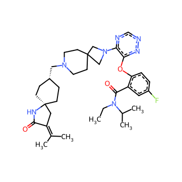 CCN(C(=O)c1cc(F)ccc1Oc1nncnc1N1CC2(CCN(C[C@H]3CC[C@]4(CC3)CC(=C(C)C)C(=O)N4)CC2)C1)C(C)C